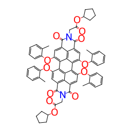 Cc1ccccc1Oc1cc2c3c(cc(Oc4ccccc4C)c4c5c(Oc6ccccc6C)cc6c7c(cc(Oc8ccccc8C)c(c1c34)c75)C(=O)N(CC(=O)OC1CCCC1)C6=O)C(=O)N(CC(=O)OC1CCCC1)C2=O